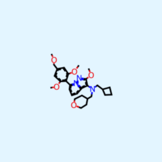 COCc1cc(OC)c(-c2cccc3c(N(CC4CCC4)CC4CCOCC4)c(OC)nn23)c(OC)c1